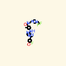 COc1ccc(-c2cnc3c(Nc4ccc(C(=O)N(C)CCN5CCN(CC(F)F)CC5)c(C)c4)nccn23)cc1F